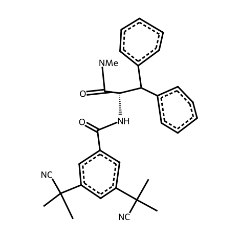 CNC(=O)[C@@H](NC(=O)c1cc(C(C)(C)C#N)cc(C(C)(C)C#N)c1)C(c1ccccc1)c1ccccc1